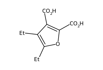 CCc1oc(C(=O)O)c(C(=O)O)c1CC